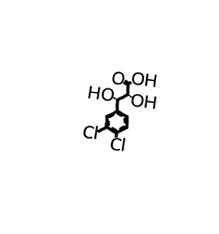 O=C(O)[C@H](O)[C@@H](O)c1ccc(Cl)c(Cl)c1